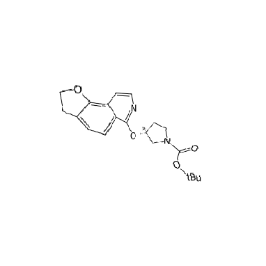 CC(C)(C)OC(=O)N1CC[C@@H](Oc2nccc3c4c(ccc23)CCO4)C1